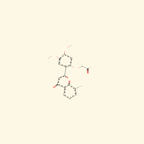 COc1cc(OCC(=O)O)c(-c2cc(=O)c3cccc(Cl)c3o2)cc1OC